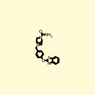 NC(=O)N1CC2CC1CN2Cc1ccc(Oc2nc3ccccc3s2)cc1